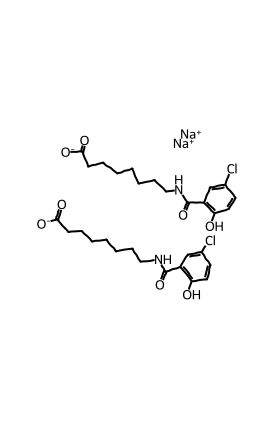 O=C([O-])CCCCCCCNC(=O)c1cc(Cl)ccc1O.O=C([O-])CCCCCCCNC(=O)c1cc(Cl)ccc1O.[Na+].[Na+]